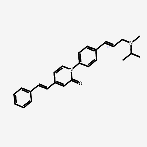 CC(C)N(C)C/C=C/c1ccc(-n2ccc(C=Cc3ccccc3)cc2=O)cc1